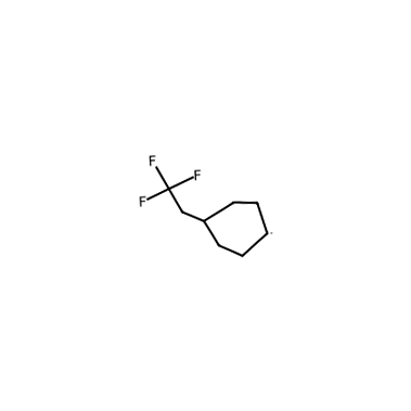 FC(F)(F)CC1CC[CH]CC1